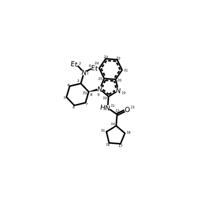 CCN(CC)C1CCCC[C@@H]1n1c(NC(=O)C2CCCC2)nc2ccccc21